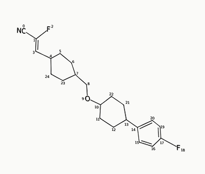 N#CC(F)=CC1CCC(COC2CCC(c3ccc(F)cc3)CC2)CC1